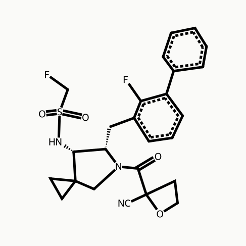 N#CC1(C(=O)N2CC3(CC3)[C@H](NS(=O)(=O)CF)[C@@H]2Cc2cccc(-c3ccccc3)c2F)CCO1